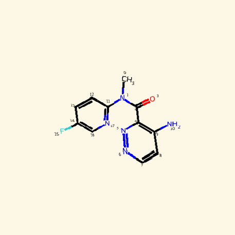 CN(C(=O)c1nnccc1N)c1ccc(F)cn1